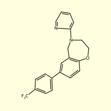 FC(F)(F)c1ccc(-c2ccc3c(c2)CN(c2ccccn2)CCO3)cc1